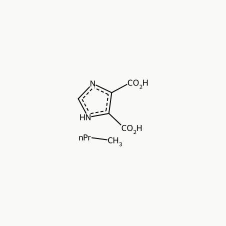 CCCC.O=C(O)c1nc[nH]c1C(=O)O